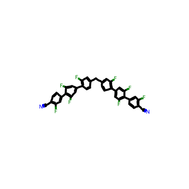 N#Cc1ccc(-c2c(F)cc(-c3ccc(Cc4ccc(-c5cc(F)c(-c6ccc(C#N)c(F)c6)c(F)c5)c(F)c4)cc3F)cc2F)cc1F